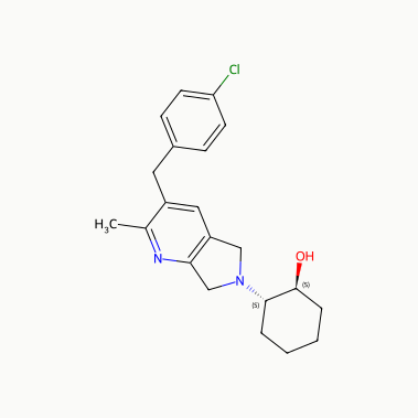 Cc1nc2c(cc1Cc1ccc(Cl)cc1)CN([C@H]1CCCC[C@@H]1O)C2